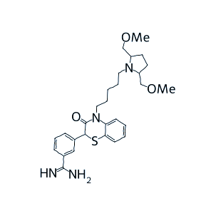 COCC1CCC(COC)N1CCCCCN1C(=O)C(c2cccc(C(=N)N)c2)Sc2ccccc21